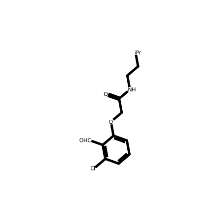 CC(C)CCNC(=O)COc1cccc(Cl)c1C=O